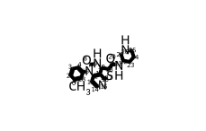 Cc1cccc(N2C(=O)NC3c4c2ccnc4SC3C(=O)N[C@@H]2CCCNC2)c1